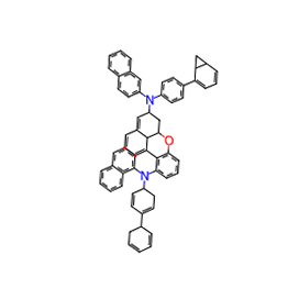 C1=CCC(C2=CCC(N(c3cccc4c3C3=CC=CC5=CC(N(c6ccc(C7=CC=CC8CC78)cc6)c6ccc7ccccc7c6)CC(O4)C53)c3cccc4ccccc34)C=C2)C=C1